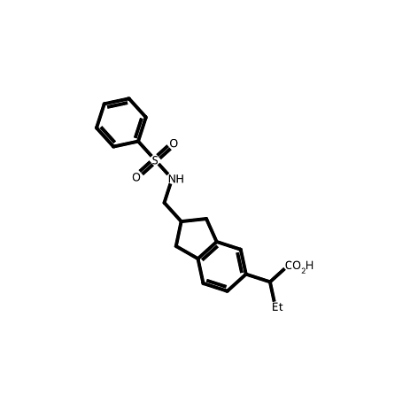 CCC(C(=O)O)c1ccc2c(c1)CC(CNS(=O)(=O)c1ccccc1)C2